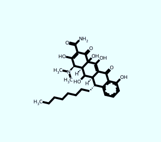 CCCCCCCC[C@H]1c2cccc(O)c2C(=O)C2=C(O)C3(O)C(=O)C(C(N)=O)=C(O)[C@H](N(C)C)[C@@H]3C(O)[C@@H]21